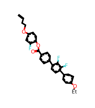 C=CCCOc1ccc(OC(=O)c2ccc(-c3ccc(-c4ccc(OCC)cc4)c(F)c3F)cc2)c(F)c1